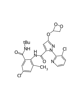 Cc1cc(Cl)cc(C(=O)NC(C)(C)C)c1NC(=O)c1cc(OC2COO2)nn1-c1ncccc1Cl